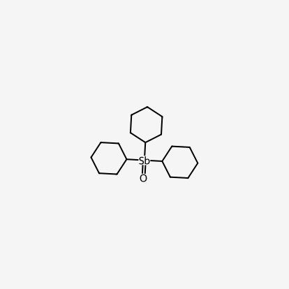 [O]=[Sb]([CH]1CCCCC1)([CH]1CCCCC1)[CH]1CCCCC1